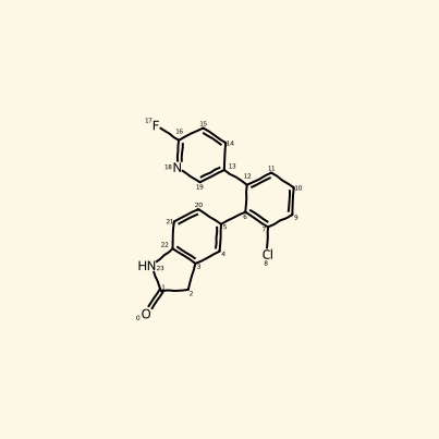 O=C1Cc2cc(-c3c(Cl)cccc3-c3ccc(F)nc3)ccc2N1